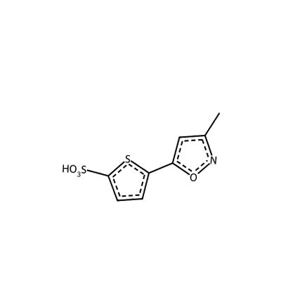 Cc1cc(-c2ccc(S(=O)(=O)O)s2)on1